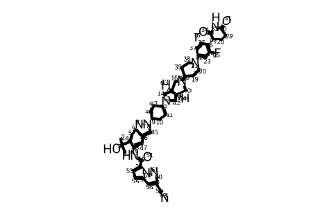 CC(C)(O)c1cc2nn(C3CCC(N4C[C@@H]5CN(C6CCN(c7cc(F)c([C@H]8CCC(=O)NC8=O)c(F)c7)CC6)C[C@H]5C4)CC3)cc2cc1NC(=O)c1ccc2cc(C#N)cnn12